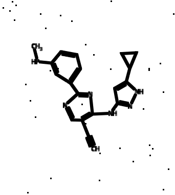 C#Cc1cnc(-c2cccc(PC)c2)nc1Nc1cc(C2CC2)[nH]n1